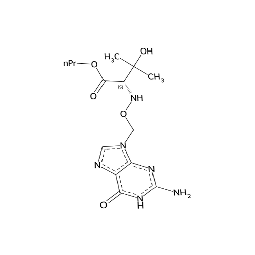 CCCOC(=O)[C@@H](NOCn1cnc2c(=O)[nH]c(N)nc21)C(C)(C)O